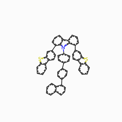 c1ccc2c(-c3ccc(-c4ccc(-n5c6c(-c7ccc8c(c7)sc7ccccc78)cccc6c6cccc(-c7ccc8c(c7)sc7ccccc78)c65)cc4)cc3)cccc2c1